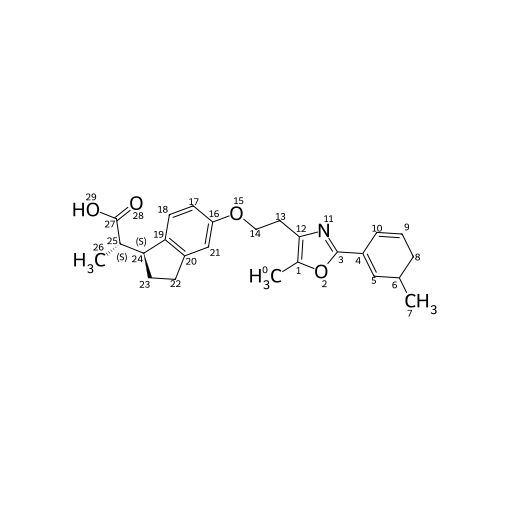 Cc1oc(C2=CC(C)CC=C2)nc1CCOc1ccc2c(c1)CC[C@H]2[C@H](C)C(=O)O